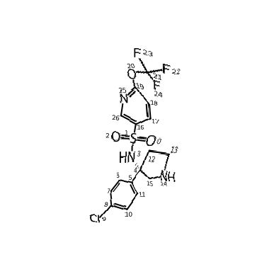 O=S(=O)(N[C@]1(c2ccc(Cl)cc2)CCNC1)c1ccc(OC(F)(F)F)nc1